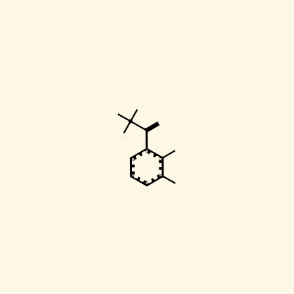 Cc1cccc(C(=O)C(C)(N)[SiH3])c1C